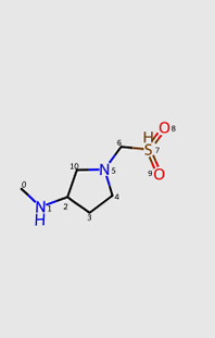 CNC1CCN(C[SH](=O)=O)C1